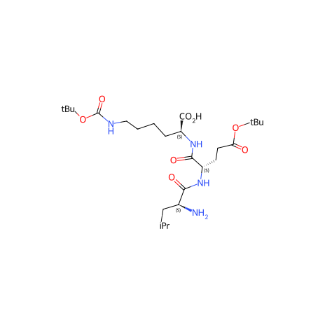 CC(C)C[C@H](N)C(=O)N[C@@H](CCC(=O)OC(C)(C)C)C(=O)N[C@@H](CCCCNC(=O)OC(C)(C)C)C(=O)O